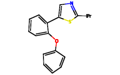 CC(C)c1ncc(-c2ccccc2Oc2ccccc2)s1